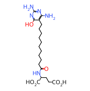 Nc1nc(N)c(CCCCCCCCCCC(=O)N[C@@H](CCC(=O)O)C(=O)O)c(O)n1